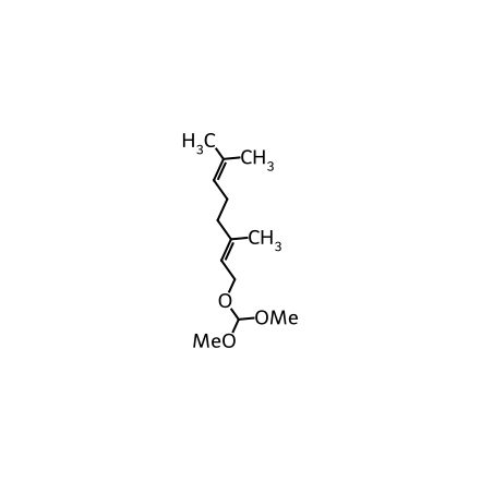 COC(OC)OC/C=C(\C)CCC=C(C)C